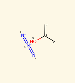 CC(C)O.[N-]=[N+]=[N-]